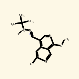 COc1ncc(/C=N/[S@@+]([O-])C(C)(C)C)c2cc(Cl)ncc12